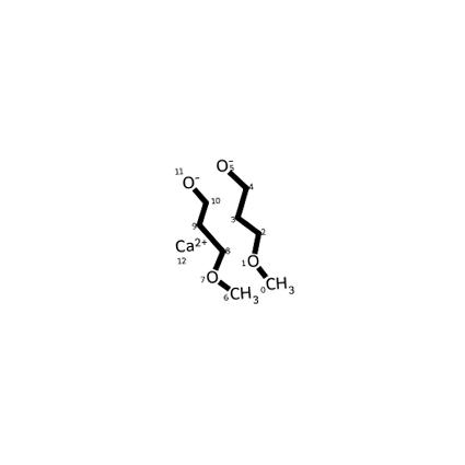 COCCC[O-].COCCC[O-].[Ca+2]